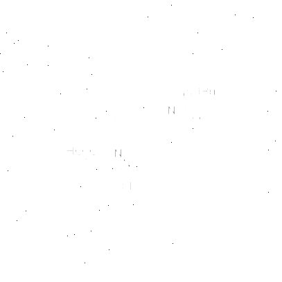 CC(C)(C)OC(=O)N1CCC(c2cccc(-n3nc(C(F)(F)F)cc3C(=O)O)c2)CC1